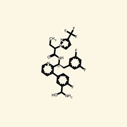 CCC(C(=O)N[C@@H](Cc1cc(F)cc(F)c1)c1ncccc1-c1ccc(F)c(C(N)O)c1)n1ccc(C(F)(F)F)n1